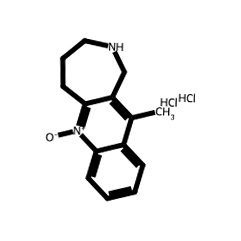 Cc1c2c([n+]([O-])c3ccccc13)CCCNC2.Cl.Cl